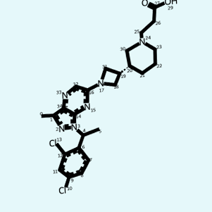 Cc1nn(C(C)c2ccc(Cl)cc2Cl)c2nc(N3CC([C@H]4CCCN(CCC(=O)O)C4)C3)cnc12